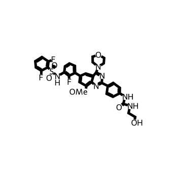 COc1cc(-c2cccc(NS(=O)(=O)c3c(F)cccc3F)c2F)cc2c(N3CCOCC3)nc(-c3ccc(NC(=O)NCCO)cc3)nc12